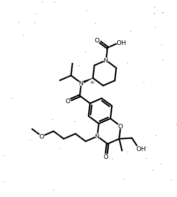 COCCCCN1C(=O)C(C)(CO)Oc2ccc(C(=O)N(C(C)C)[C@@H]3CCCN(C(=O)O)C3)cc21